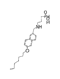 CCCCCCCOc1ccc2cc(CNCCC[PH](=O)O)ccc2c1